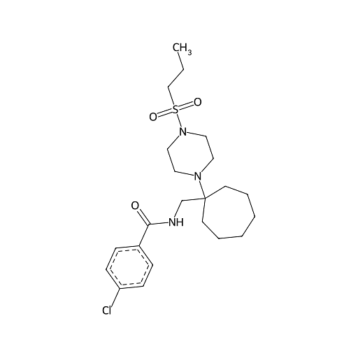 CCCS(=O)(=O)N1CCN(C2(CNC(=O)c3ccc(Cl)cc3)CCCCCC2)CC1